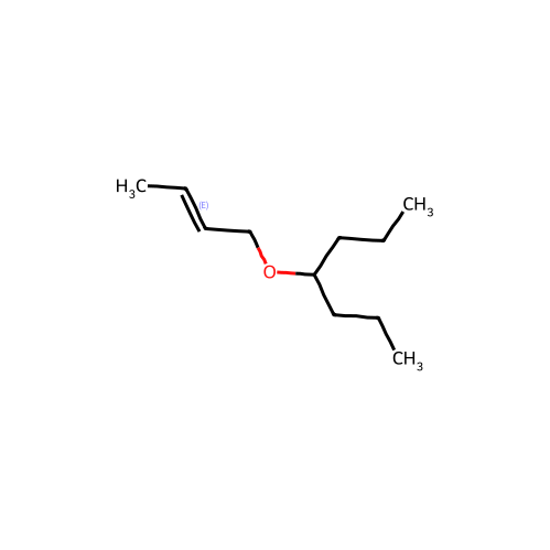 C/C=C/COC(CCC)CCC